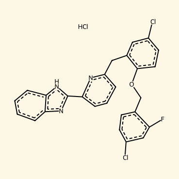 Cl.Fc1cc(Cl)ccc1COc1ccc(Cl)cc1Cc1cccc(-c2nc3ccccc3[nH]2)n1